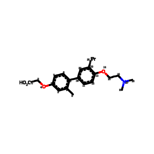 Cc1cc(OCC(=O)O)ccc1-c1ccc(OCCN(C)C)c(C(C)C)c1